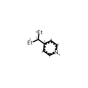 CCC(CC)c1ccncc1